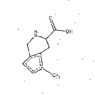 Cn1ccc2c1CC(C(=O)O)NC2